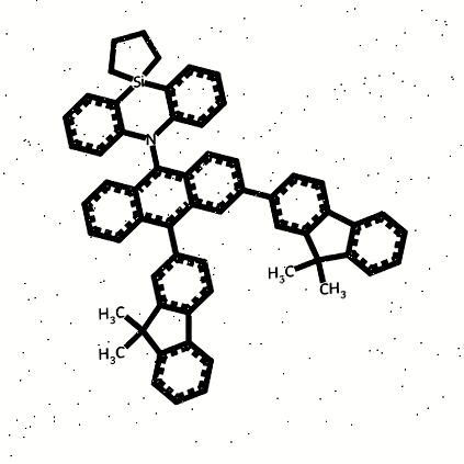 CC1(C)c2ccccc2-c2ccc(-c3ccc4c(N5c6ccccc6[Si]6(CCCC6)c6ccccc65)c5ccccc5c(-c5ccc6c(c5)C(C)(C)c5ccccc5-6)c4c3)cc21